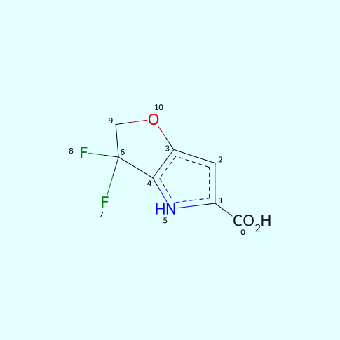 O=C(O)c1cc2c([nH]1)C(F)(F)CO2